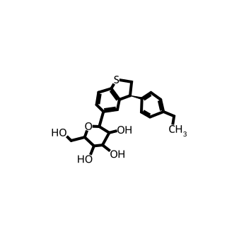 CCc1ccc([C@@H]2CSc3ccc(C4OC(CO)C(O)C(O)C4O)cc32)cc1